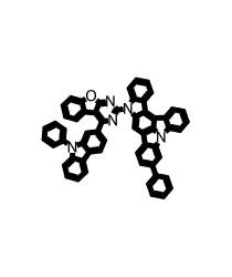 c1ccc(-c2ccc3c4cc5c(c6ccccc6n5-c5nc(-c6ccc7c8ccccc8n(-c8ccccc8)c7c6)c6c(n5)oc5ccccc56)c5c6ccccc6n(c3c2)c45)cc1